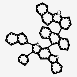 c1ccc(-c2c(-c3ccc4ccccc4c3)sc3c(-c4c5ccccc5c(-c5cccc6oc7c8ccccc8ccc7c56)c5ccccc45)c4sc5ccccc5c4cc23)cc1